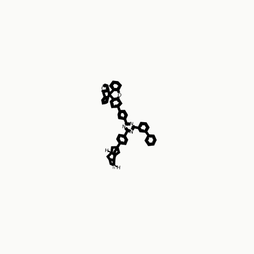 c1ccc(-c2cccc(-c3nc(-c4ccc(-c5ccc6c(c5)Oc5ccccc5C65c6ccccc6-c6ccccc65)cc4)nc(-c4ccc(C56CC7C8C(C[C@@H]7C5)C[C@H]8C6)cc4)n3)c2)cc1